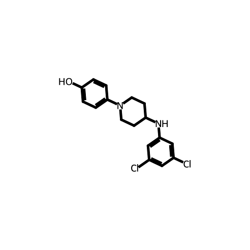 Oc1ccc(N2CCC(Nc3cc(Cl)cc(Cl)c3)CC2)cc1